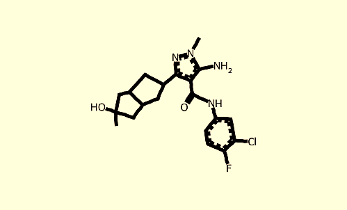 Cn1nc(C2CC3CC(C)(O)CC3C2)c(C(=O)Nc2ccc(F)c(Cl)c2)c1N